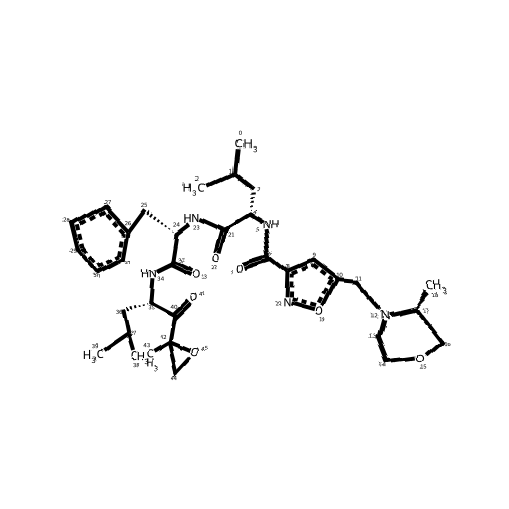 CC(C)C[C@H](NC(=O)c1cc(CN2CCOC[C@@H]2C)on1)C(=O)N[C@@H](Cc1ccccc1)C(=O)N[C@@H](CC(C)C)C(=O)C1(C)CO1